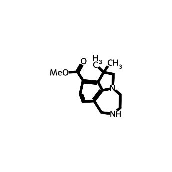 COC(=O)c1ccc2c3c1C(C)(C)CN3CCNC2